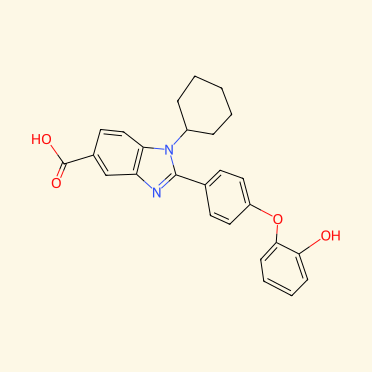 O=C(O)c1ccc2c(c1)nc(-c1ccc(Oc3ccccc3O)cc1)n2C1CCCCC1